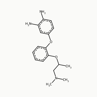 CC(CN(C)C)Oc1ccccc1Oc1ccc(N)c(N)c1